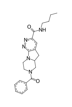 CCCCNC(=O)c1cc2c(nn1)N1CCN(C(=O)c3ccccc3)CC1C2